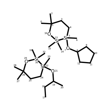 CC1(C)CC[Si](C)(OC2CCCC2)[Si](C)(C)O1.CCC(C)O[Si]1(C)CCC(C)(C)O[Si]1(C)C